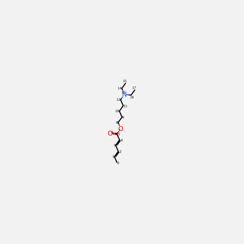 CC=CC=CC(=O)OCCCCCN(CC)CC